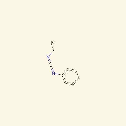 CC(C)CN=C=Nc1ccccc1